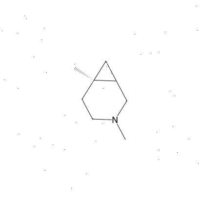 CN1CC[C@@]2(C)CC2C1